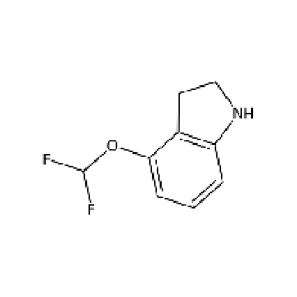 FC(F)Oc1cccc2c1CCN2